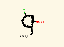 CCOC(=O)Cc1ccc(Cl)cc1O